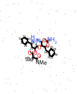 CNC(=O)C(C(=O)OC(COC(CN)C(Cc1ccccc1)OC(N)=O)CC(N)c1ccccc1)C(C)(C)C